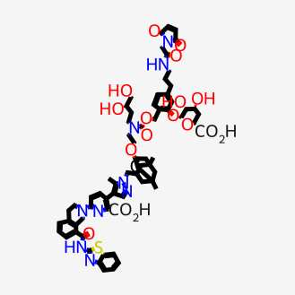 Cc1c(-c2ccc(N3CCc4cccc(C(=O)Nc5nc6ccccc6s5)c4C3)nc2C(=O)O)cnn1CC12CC3(C)CC(C)(C1)CC(OCCN(CC[C@H](O)CO)C(=O)OCc1ccc(CCCNC(=O)CN4C(=O)C=CC4=O)cc1O[C@@H]1O[C@H](C(=O)O)C[C@H](O)[C@H]1O)(C3)C2